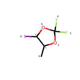 CC1OC(F)(F)OC1I